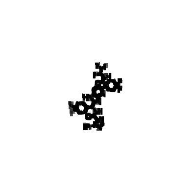 CC(C)n1ncnc1C(=O)N[C@H](c1nc2nc(C3(C(=O)NC(F)C(F)F)CCC(F)(F)CC3)ccc2[nH]1)C1CCC(F)(F)CC1